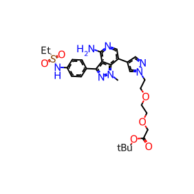 CCS(=O)(=O)Nc1ccc(-c2nn(C)c3c(-c4cnn(CCOCCOCC(=O)OC(C)(C)C)c4)cnc(N)c23)cc1